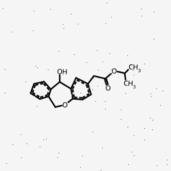 CC(C)OC(=O)Cc1ccc2c(c1)C(O)c1ccccc1CO2